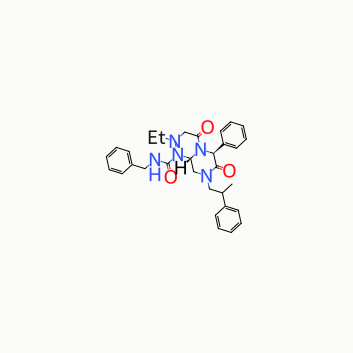 CCN1CC(=O)N2[C@@H](c3ccccc3)C(=O)N(CC(C)c3ccccc3)C[C@@H]2N1C(=O)NCc1ccccc1